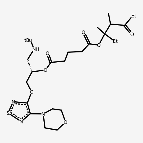 CCC(=O)C(C)C(C)(CC)OC(=O)CCCC(=O)O[C@@H](CNC(C)(C)C)COc1nsnc1N1CCOCC1